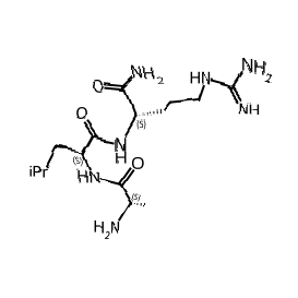 CC(C)C[C@H](NC(=O)[C@H](C)N)C(=O)N[C@@H](CCCNC(=N)N)C(N)=O